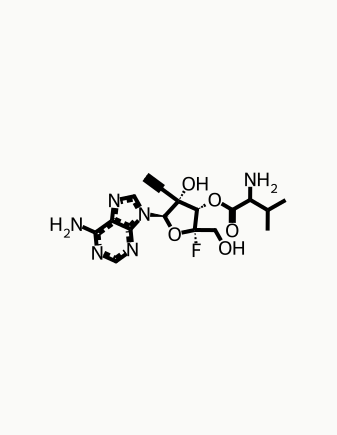 C#C[C@]1(O)[C@H](n2cnc3c(N)ncnc32)O[C@](F)(CO)[C@H]1OC(=O)C(N)C(C)C